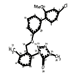 COc1cc(Cl)ccc1-c1cccc(OCc2c(C)cccc2-n2nnn(C)c2=O)c1